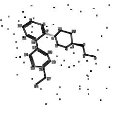 CCC[C@H]1CC[C@H](c2ccccc2-c2ccc(CC)cc2)CC1